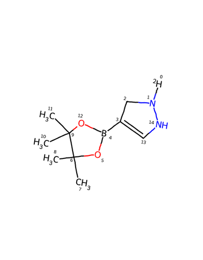 [2H]N1CC(B2OC(C)(C)C(C)(C)O2)=CN1